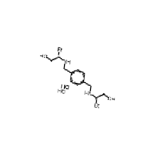 CCC(CO)NCc1ccc(CN[C@H](CC)CO)cc1.Cl.Cl